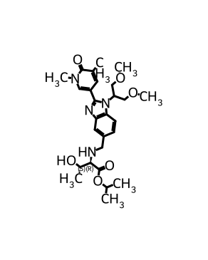 COCC(COC)n1c(-c2cc(C)c(=O)n(C)c2)nc2cc(CN[C@@H](C(=O)OC(C)C)[C@H](C)O)ccc21